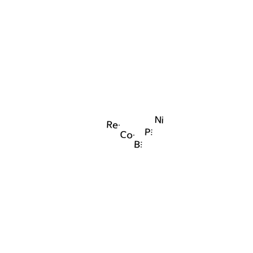 [B].[Co].[Ni].[P].[Re]